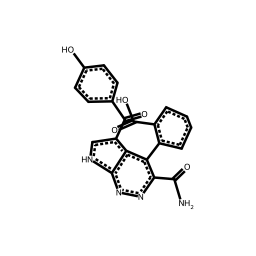 NC(=O)c1nnc2[nH]cc(C(=O)c3ccc(O)cc3)c2c1-c1ccccc1C(=O)O